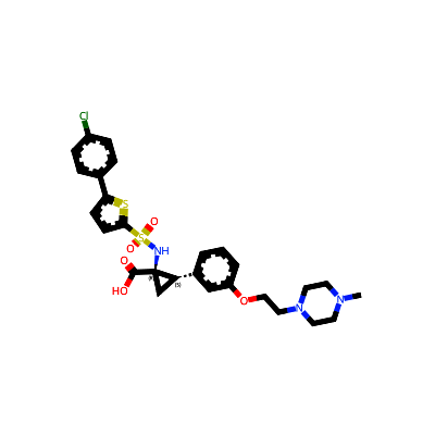 CN1CCN(CCOc2cccc([C@@H]3C[C@]3(NS(=O)(=O)c3ccc(-c4ccc(Cl)cc4)s3)C(=O)O)c2)CC1